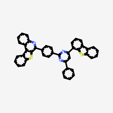 c1ccc(-c2cc(-c3cccc4c3sc3ccccc34)nc(-c3ccc(-c4nc5ccccc5c5c4sc4ccccc45)cc3)n2)cc1